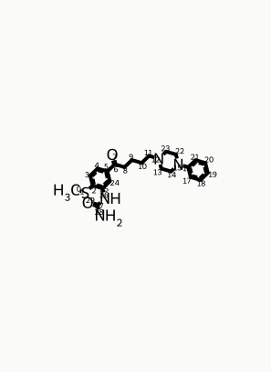 CSc1ccc(C(=O)CCCCN2CCN(c3ccccc3)CC2)cc1NC(N)=O